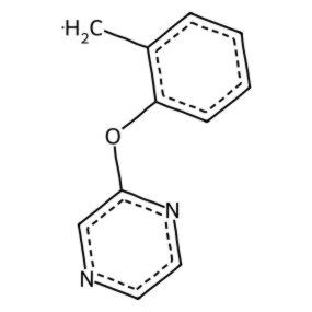 [CH2]c1ccccc1Oc1cnccn1